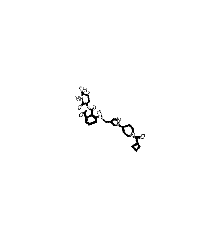 C=C1CCC(N2C(=O)c3cccc(NCc4cnn(C5CCN(C(=O)C6CCC6)CC5)c4)c3C2=O)C(=O)N1